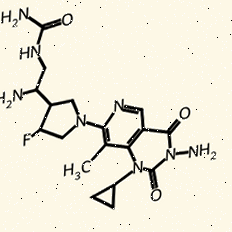 Cc1c(N2CC(F)C(C(N)CNC(N)=O)C2)ncc2c(=O)n(N)c(=O)n(C3CC3)c12